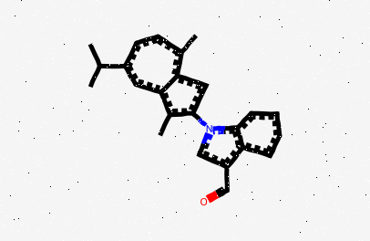 Cc1ccc(C(C)C)cc2c(C)c(-n3cc(C=O)c4ccccc43)cc1-2